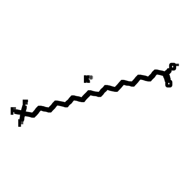 O=C([O-])CCCCCCCCCCCCCCCCC(F)(F)F.[K+]